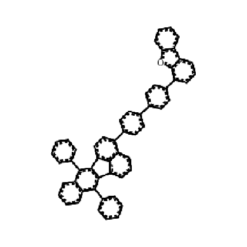 c1ccc(-c2c3c(c(-c4ccccc4)c4ccccc24)-c2ccc(-c4ccc(-c5ccc(-c6cccc7c6oc6ccccc67)cc5)cc4)c4cccc-3c24)cc1